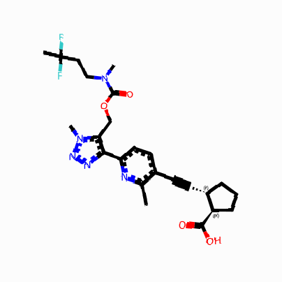 Cc1nc(-c2nnn(C)c2COC(=O)N(C)CCC(C)(F)F)ccc1C#C[C@@H]1CCC[C@H]1C(=O)O